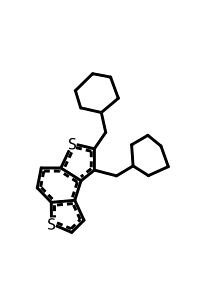 c1cc2c(ccc3sc(CC4CCCCC4)c(CC4CCCCC4)c32)s1